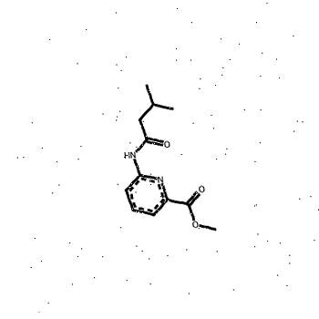 COC(=O)c1cccc(NC(=O)CC(C)C)n1